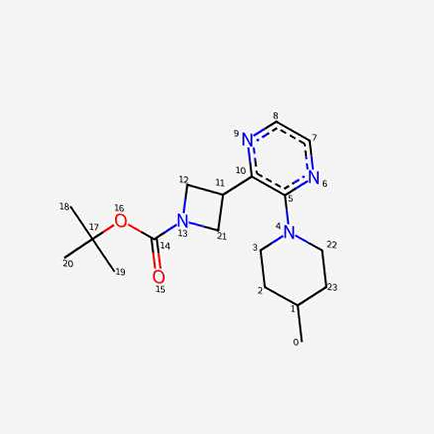 CC1CCN(c2nccnc2C2CN(C(=O)OC(C)(C)C)C2)CC1